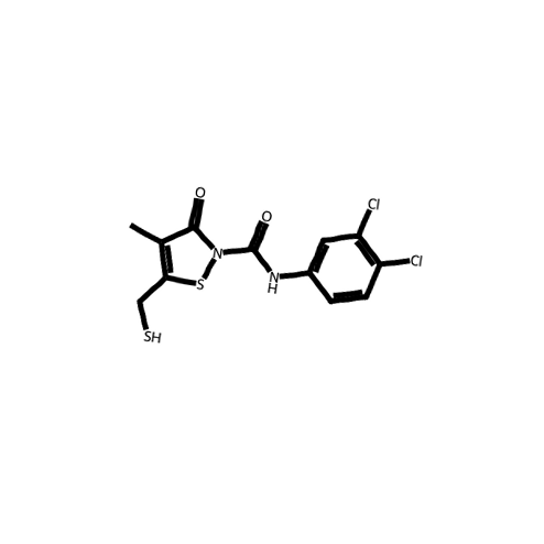 Cc1c(CS)sn(C(=O)Nc2ccc(Cl)c(Cl)c2)c1=O